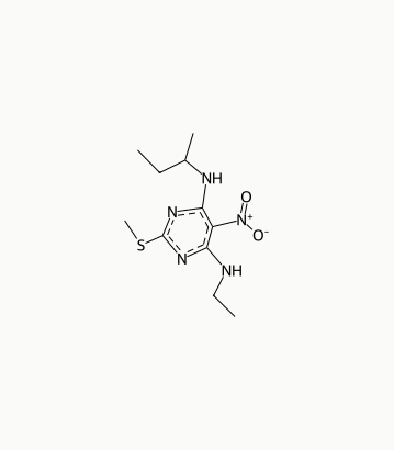 CCNc1nc(SC)nc(NC(C)CC)c1[N+](=O)[O-]